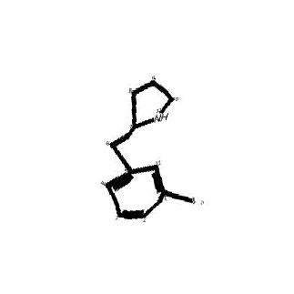 Ic1cccc(CC2CCCN2)c1